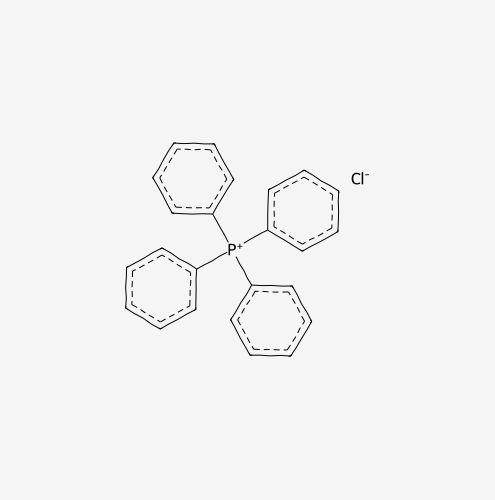 [Cl-].c1ccc([P+](c2ccccc2)(c2ccccc2)c2ccccc2)cc1